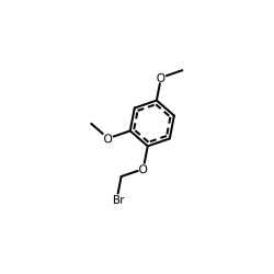 COc1ccc(OCBr)c(OC)c1